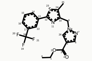 CCOC(=O)c1cnn(Cc2nc(-c3cccc(C(F)(F)F)c3)sc2C)c1